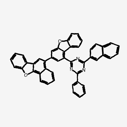 c1ccc(-c2nc(-c3ccc4ccccc4c3)nc(-c3cc(-c4cc5c6ccccc6oc5c5ccccc45)cc4oc5ccccc5c34)n2)cc1